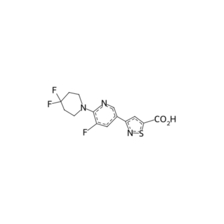 O=C(O)c1cc(-c2cnc(N3CCC(F)(F)CC3)c(F)c2)ns1